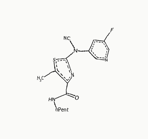 CCCCCNC(=O)c1nc(N(C#N)c2cncc(F)c2)sc1C